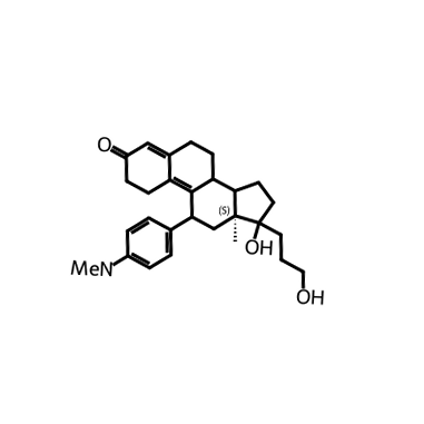 CNc1ccc(C2C[C@@]3(C)C(CCC3(O)CCCO)C3CCC4=CC(=O)CCC4=C23)cc1